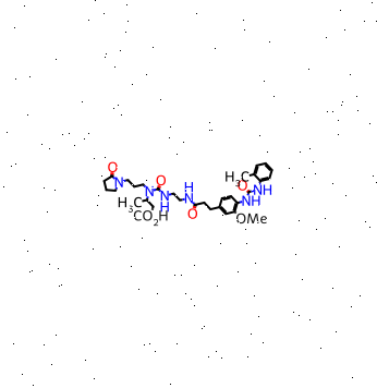 COc1cc(CCC(=O)NCCNC(=O)N(CCCN2CCCC2=O)C(C)CC(=O)O)ccc1NC(=O)Nc1ccccc1C